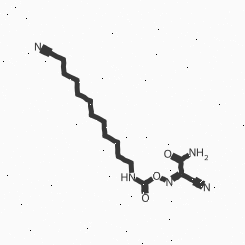 N#CCCCCCCCCCCCNC(=O)ON=C(C#N)C(N)=O